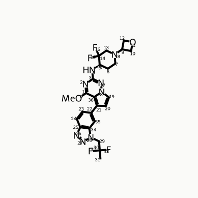 COc1nc(N[C@@H]2CCN(C3COC3)CC2(F)F)nn2ccc(-c3ccc4nnn(CC(C)(F)F)c4c3)c12